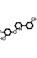 Oc1cccc(-c2cccc(Oc3ccc(F)c(O)c3)n2)c1